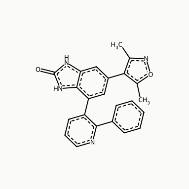 Cc1noc(C)c1-c1cc(-c2cccnc2-c2ccccc2)c2[nH]c(=O)[nH]c2c1